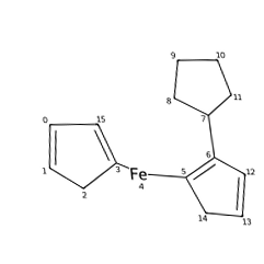 C1=CC[C]([Fe][C]2=C(C3CCCC3)C=CC2)=C1